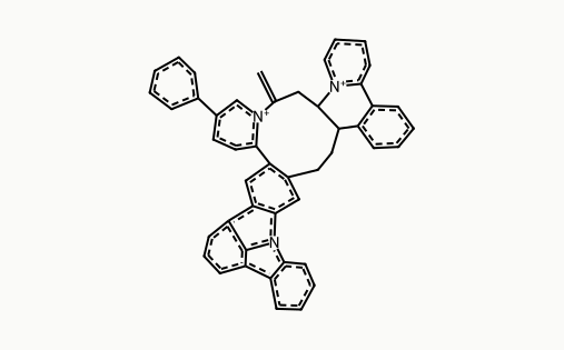 C=C1CC2C(CCc3cc4c(cc3-c3ccc(-c5ccccc5)c[n+]31)c1cccc3c5ccccc5n4c31)c1ccccc1-c1cccc[n+]12